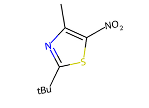 Cc1nc(C(C)(C)C)sc1[N+](=O)[O-]